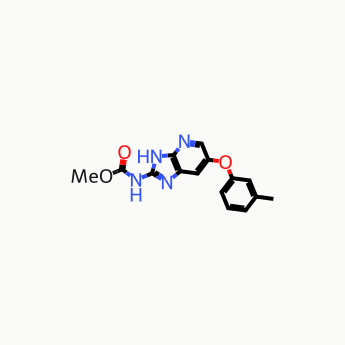 COC(=O)Nc1nc2cc(Oc3cccc(C)c3)cnc2[nH]1